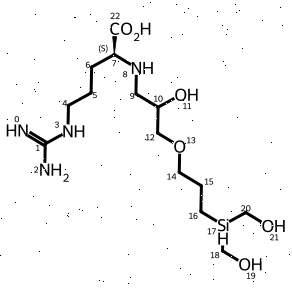 N=C(N)NCCC[C@H](NCC(O)COCCC[SiH](CO)CO)C(=O)O